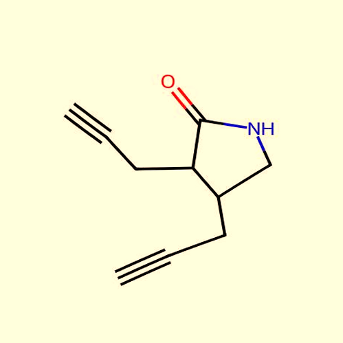 C#CCC1CNC(=O)C1CC#C